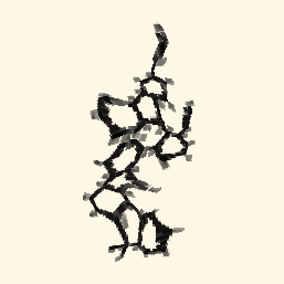 CC1(C)C2=C(c3ccccc31)c1sc3c(-c4cccc(C#N)c4-n4c5ccccc5c5cc(C#N)ccc54)cccc3c1CC2